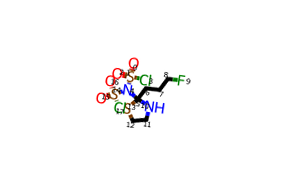 O=S(=O)(Cl)N(C1(CCCF)NCCS1)S(=O)(=O)Cl